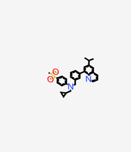 CC(C)c1cc(-c2cccc(CN(CC3CC3)c3ccc(S(C)(=O)=O)cc3)c2)c2ncccc2c1